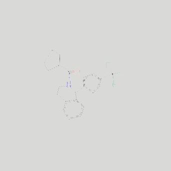 O=C(C1CCCC1)N1CCc2ccccc2C1c1ccc(C(F)(F)F)cc1